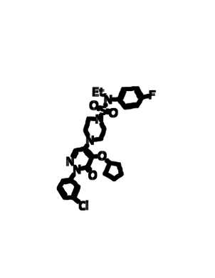 CCN(c1ccc(F)cc1)S(=O)(=O)N1CCN(c2cnn(-c3cccc(Cl)c3)c(=O)c2OC2CCCC2)CC1